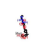 CS[C@H]1O[C@@H](c2ccc(C)c(Cc3ccc(COCCC(=O)NCC(=O)NCCN4CCCC4)cc3)c2)[C@H](O)[C@@H](O)[C@@H]1O